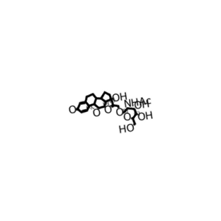 CC(=O)NC1C(O)[C@H](O)C(CO)O[C@H]1OCC(=O)[C@@]1(O)CCC2C3CCC4=CC(=O)C=C[C@]4(C)C3C(=O)C[C@@]21C